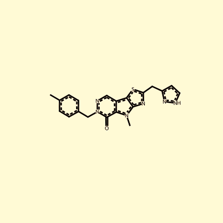 Cc1ccc(Cn2ncc3c4sc(Cc5cc[nH]n5)nc4n(C)c3c2=O)cc1